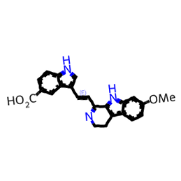 COc1ccc2c3c([nH]c2c1)C(/C=C/c1c[nH]c2ccc(C(=O)O)cc12)=NCC3